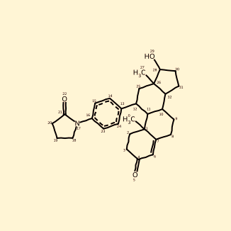 CC12CCC(=O)C=C1CCC1C2C(c2ccc(N3CCCC3=O)cc2)CC2(C)C(O)CCC12